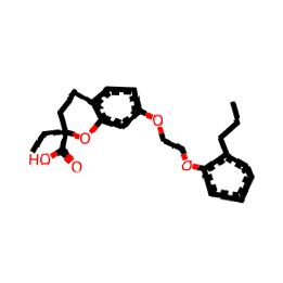 CCCc1ccccc1OCCOc1ccc2c(c1)OC(CC)(C(=O)O)CC2